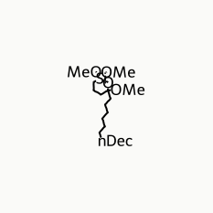 CCCCCCCCCCCCCCCCC1(OC)CCC[Si](OC)(OC)O1